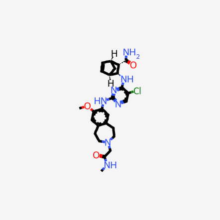 CNC(=O)CN1CCc2cc(Nc3ncc(Cl)c(N[C@H]4[C@@H](C(N)=O)[C@@H]5C=C[C@H]4C5)n3)c(OC)cc2CC1